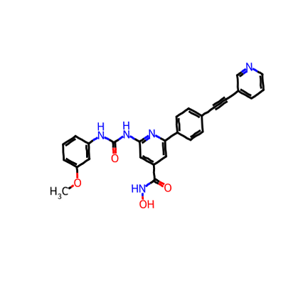 COc1cccc(NC(=O)Nc2cc(C(=O)NO)cc(-c3ccc(C#Cc4cccnc4)cc3)n2)c1